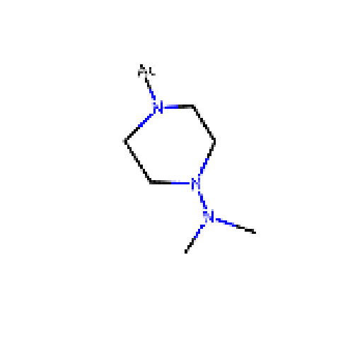 CC(=O)N1CCN(N(C)C)CC1